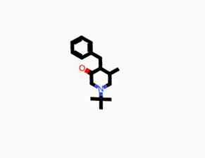 CC1CN(C(C)(C)C)CC(=O)C1Cc1ccccc1